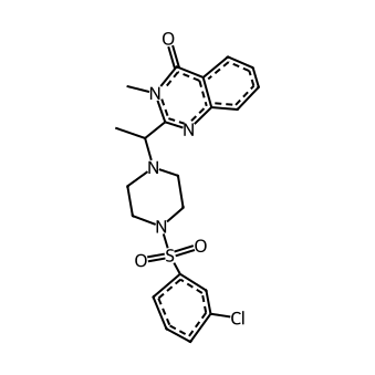 CC(c1nc2ccccc2c(=O)n1C)N1CCN(S(=O)(=O)c2cccc(Cl)c2)CC1